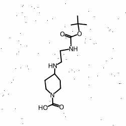 CC(C)(C)OC(=O)NCCNC1CCN(C(=O)O)CC1